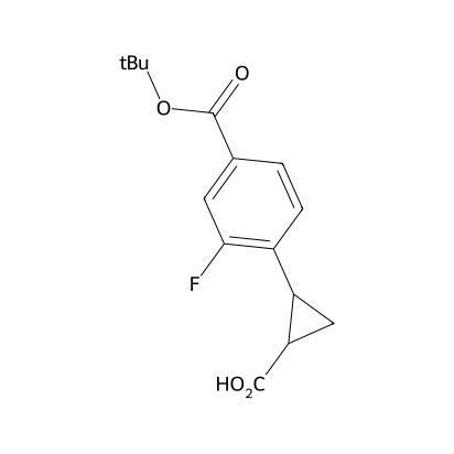 CC(C)(C)OC(=O)c1ccc(C2CC2C(=O)O)c(F)c1